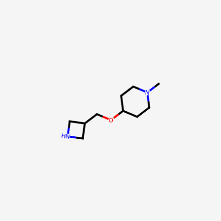 CN1CCC(OCC2CNC2)CC1